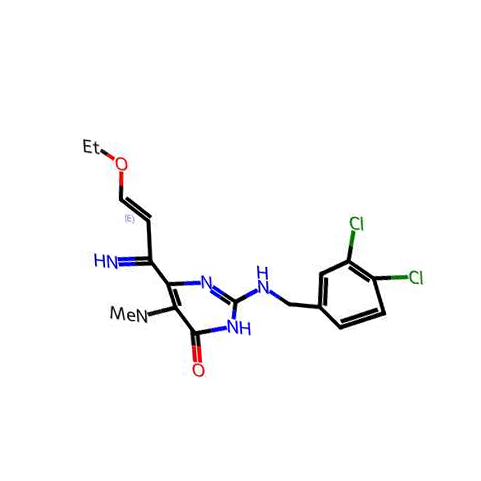 CCO/C=C/C(=N)c1nc(NCc2ccc(Cl)c(Cl)c2)[nH]c(=O)c1NC